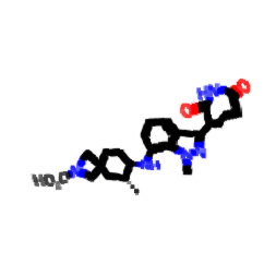 C[C@@H]1CC2(CC[C@H]1Nc1cccc3c(C4CCC(=O)NC4=O)nn(C)c13)CN(C(=O)O)C2